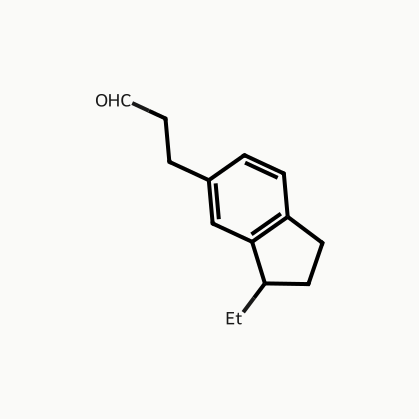 CCC1CCc2ccc(CCC=O)cc21